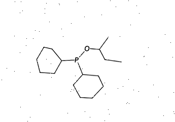 CCC(C)OP(C1CCCCC1)C1CCCCC1